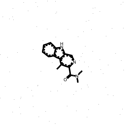 Cc1c(C(=O)N(C)C)ncc2[nH]c3ccccc3c12